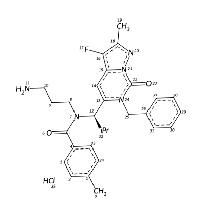 Cc1ccc(C(=O)N(CCCN)[C@@H](c2cc3c(F)c(C)nn3c(=O)n2Cc2ccccc2)C(C)C)cc1.Cl